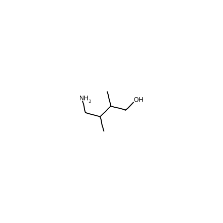 CC(CN)C(C)CO